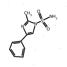 Cc1nc(-c2ccccc2)cn1S(N)(=O)=O